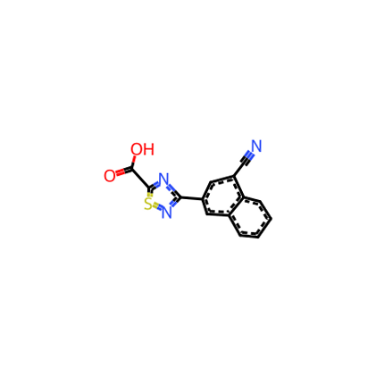 N#Cc1cc(-c2nsc(C(=O)O)n2)cc2ccccc12